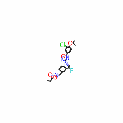 CCC(=O)ONCc1ccc2c(c1)c(F)cn2-c1noc(-c2ccc(OC(C)C)c(Cl)c2)n1